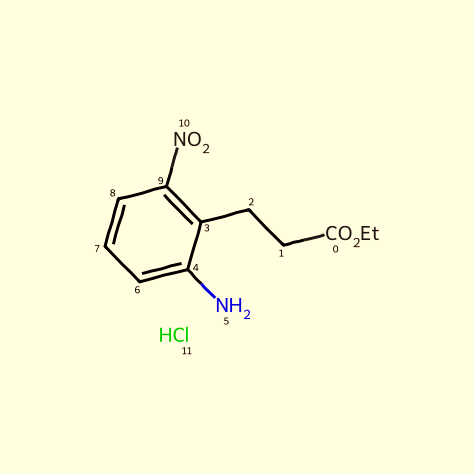 CCOC(=O)CCc1c(N)cccc1[N+](=O)[O-].Cl